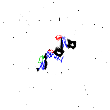 COc1cc(C(=O)N(C)Cc2ccccc2)ccc1Nc1ncc(Cl)c(-c2ccn(C(C)C)n2)n1